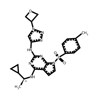 Cc1ccc(S(=O)(=O)n2ccc3c(N[C@@H](C)C4CC4)nc(Nc4cn(C5COC5)nn4)nc32)cc1